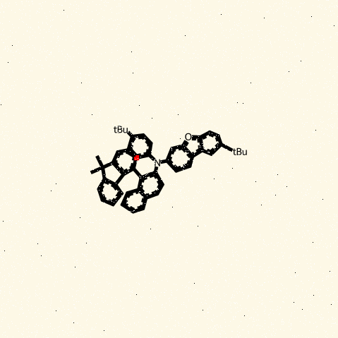 CC(C)(C)c1ccc(N(c2ccc3c(c2)oc2ccc(C(C)(C)C)cc23)c2ccc3ccccc3c2-c2cccc3c2-c2ccccc2C3(C)C)cc1